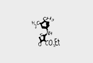 CCOC(=O)C1=C(Nc2ccc(C)c(C)c2)SCC1=O